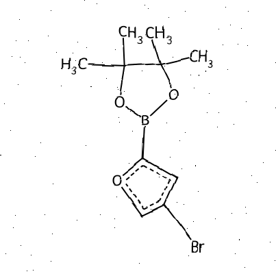 CC1(C)OB(c2cc(Br)co2)OC1(C)C